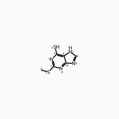 CSc1nc(S)c2[nH]cnc2n1